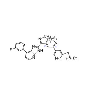 C=c1[nH]nc(-c2nc3c(-c4cccc(F)c4)ccnc3[nH]2)/c1=C/C(=N\C)c1cncc(CNCC)c1